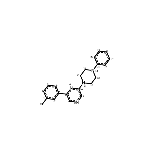 Cc1cccc(-c2cncc(N3CCN(c4ccccc4)CC3)n2)c1